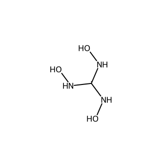 ON[C](NO)NO